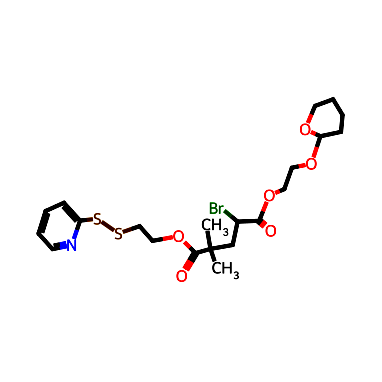 CC(C)(CC(Br)C(=O)OCCOC1CCCCO1)C(=O)OCCSSc1ccccn1